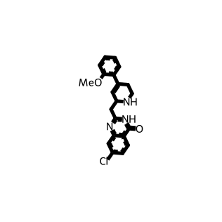 COc1ccccc1C1=CC(Cc2nc3cc(Cl)ccc3c(=O)[nH]2)NCC1